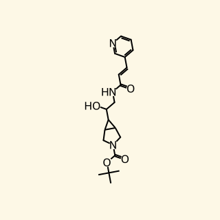 CC(C)(C)OC(=O)N1CC2C(C1)C2C(O)CNC(=O)/C=C/c1cccnc1